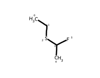 C[CH]SC(C)F